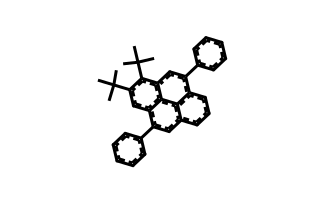 CC(C)(C)c1cc2c(-c3ccccc3)cc3cccc4c(-c5ccccc5)cc(c1C(C)(C)C)c2c34